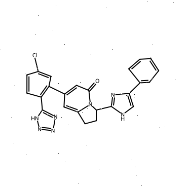 O=c1cc(-c2cc(Cl)ccc2-c2nnn[nH]2)cc2n1C(c1nc(-c3cc[c]cc3)c[nH]1)CC2